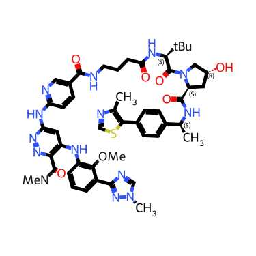 CNC(=O)c1nnc(Nc2ccc(C(=O)NCCCC(=O)N[C@H](C(=O)N3C[C@H](O)C[C@H]3C(=O)N[C@@H](C)c3ccc(-c4scnc4C)cc3)C(C)(C)C)cn2)cc1Nc1cccc(-c2ncn(C)n2)c1OC